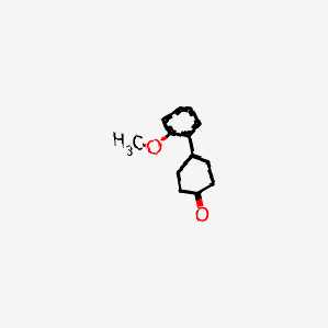 COc1ccccc1C1CCC(=O)CC1